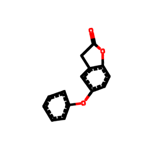 O=C1Cc2cc(Oc3ccccc3)ccc2O1